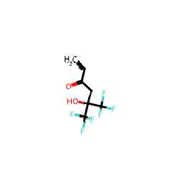 C=CC(=O)CC(O)(C(F)(F)F)C(F)(F)F